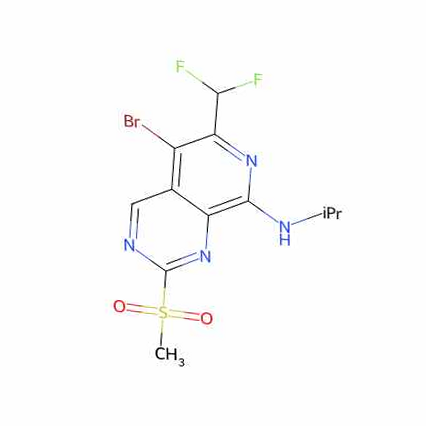 CC(C)Nc1nc(C(F)F)c(Br)c2cnc(S(C)(=O)=O)nc12